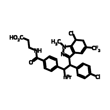 CCCC(c1ccc(C(=O)NCCC(=O)O)cc1)C(c1ccc(Cl)cc1)c1nn(C)c2c1C=C(C(F)(F)F)CC2Cl